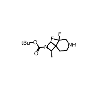 C[C@H]1N(C(=O)OC(C)(C)C)CC12CCNCC2(F)F